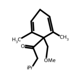 COCC1(C(=O)CC(C)C)C(C)=CCC=C1C